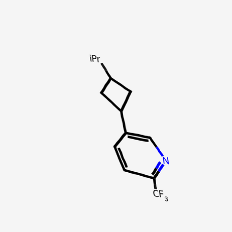 CC(C)C1CC(c2ccc(C(F)(F)F)nc2)C1